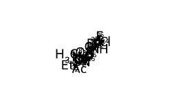 CCC(C(C)=O)[C@@H]1CN(C)C(=O)c2c3c(nn2C1)CCN(C(=O)Nc1cc(Cl)c(F)cc1F)C3